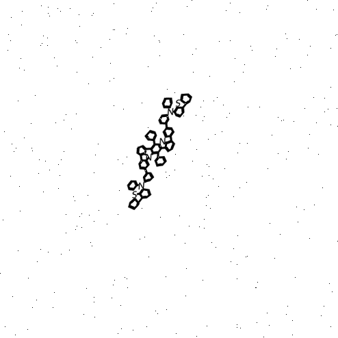 c1ccc(-c2c3c4cccc5c6ccc(-c7cccc(N(c8ccccc8)c8cccc9c8sc8ccccc89)c7)cc6n(c3c(-c3ccccc3)c3c6cccc7c8ccc(-c9cccc(N(c%10ccccc%10)c%10cccc%11c%10sc%10ccccc%10%11)c9)cc8n(c23)c76)c54)cc1